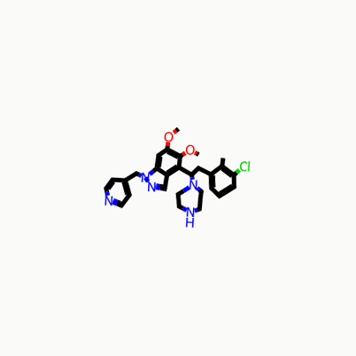 COc1cc2c(cnn2Cc2ccncc2)c(C(Cc2cccc(Cl)c2C)N2CCNCC2)c1OC